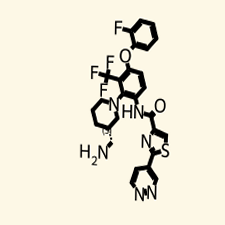 NC[C@@H]1CCCN(c2c(NC(=O)c3csc(-c4ccnnc4)n3)ccc(Oc3ccccc3F)c2C(F)(F)F)C1